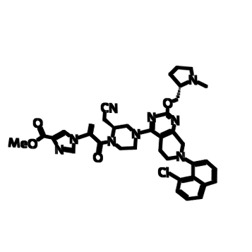 C=C(C(=O)N1CCN(c2nc(OC[C@@H]3CCCN3C)nc3c2CCN(c2cccc4cccc(Cl)c24)C3)C[C@@H]1CC#N)n1cnc(C(=O)OC)c1